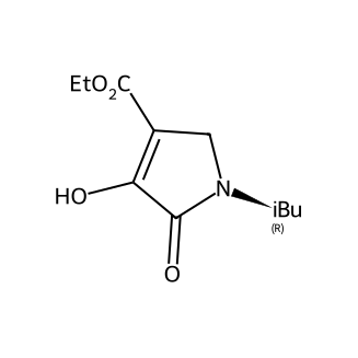 CCOC(=O)C1=C(O)C(=O)N([C@H](C)CC)C1